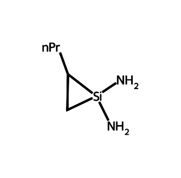 CCCC1C[Si]1(N)N